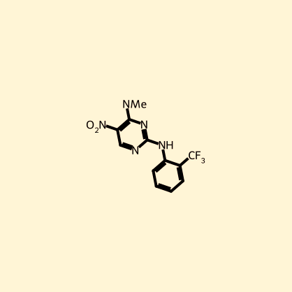 CNc1nc(Nc2ccccc2C(F)(F)F)ncc1[N+](=O)[O-]